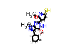 COc1nc(S)ccc1-c1nc2c(c(C3CCCCC3)nn2C)c(=O)[nH]1